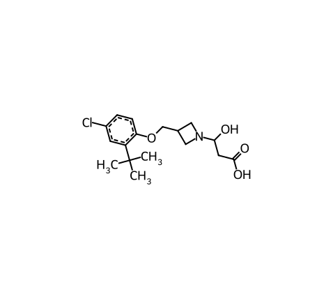 CC(C)(C)c1cc(Cl)ccc1OCC1CN(C(O)CC(=O)O)C1